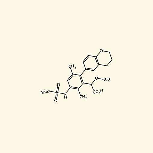 CCCCCCS(=O)(=O)Nc1cc(C)c(-c2ccc3c(c2)CCCO3)c(C(OC(C)(C)C)C(=O)O)c1C